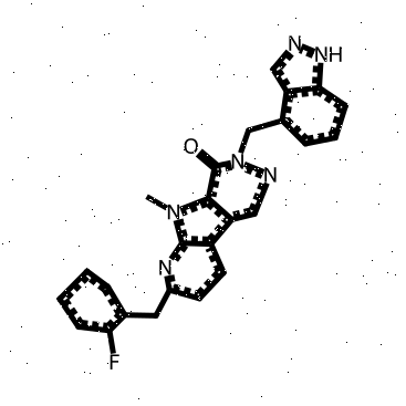 Cn1c2nc(Cc3ccccc3F)ccc2c2cnn(Cc3cccc4[nH]ncc34)c(=O)c21